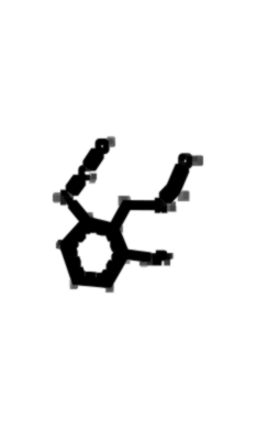 CCCc1cccc(N=C=O)c1CN=C=O